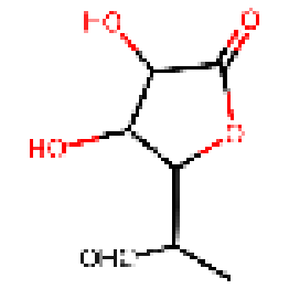 CC(C=O)C1OC(=O)C(O)C1O